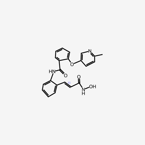 Cc1ccc(Oc2ccccc2C(=O)Nc2ccccc2/C=C/C(=O)NO)cn1